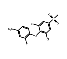 CS(=O)(=O)c1cc(Cl)c(Oc2ccc([N+](=O)[O-])cc2Cl)c(Cl)c1